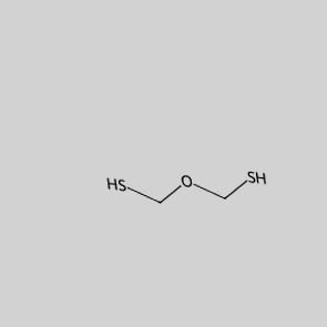 SCOCS